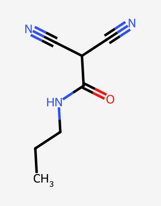 CCCNC(=O)C(C#N)C#N